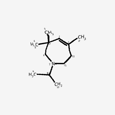 CC1=CC(C)(C)CN(C(C)C)CC1